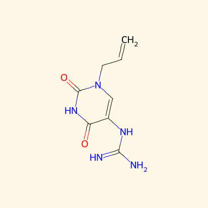 C=CCn1cc(NC(=N)N)c(=O)[nH]c1=O